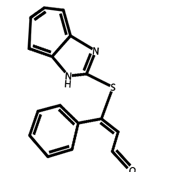 O=CC=C(Sc1nc2ccccc2[nH]1)c1ccccc1